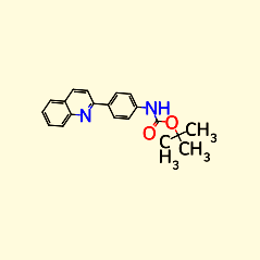 CC(C)(C)OC(=O)Nc1ccc(-c2ccc3ccccc3n2)cc1